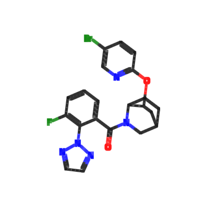 O=C(c1cccc(F)c1-n1nccn1)N1CC2CCC1C(Oc1ccc(Br)cn1)C2